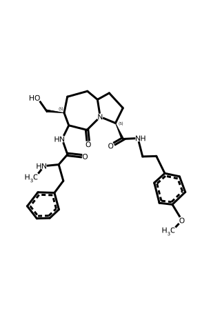 CNC(Cc1ccccc1)C(=O)NC1C(=O)N2C(CC[C@@H]1CO)CC[C@H]2C(=O)NCCc1ccc(OC)cc1